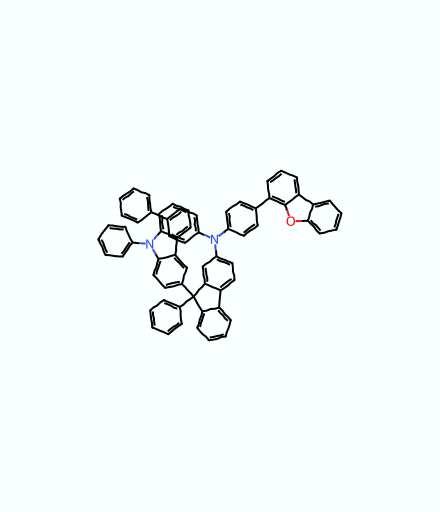 c1ccc(-c2ccc(N(c3ccc(-c4cccc5c4oc4ccccc45)cc3)c3ccc4c(c3)C(c3ccccc3)(c3ccc5c(c3)c3ccccc3n5-c3ccccc3)c3ccccc3-4)cc2)cc1